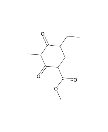 CCC1CC(C(=O)OC)C(=O)C(C)C1=O